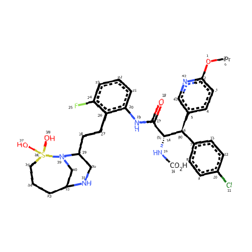 CC(C)Oc1ccc([C@@H](c2ccc(Cl)cc2)[C@H](NC(=O)O)C(=O)Nc2cccc(F)c2CCC2CNC3CCCS(O)(O)N2C3)cn1